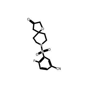 N#Cc1ccc(F)c(S(=O)(=O)N2CCC3(CC2)CC(=O)CO3)c1